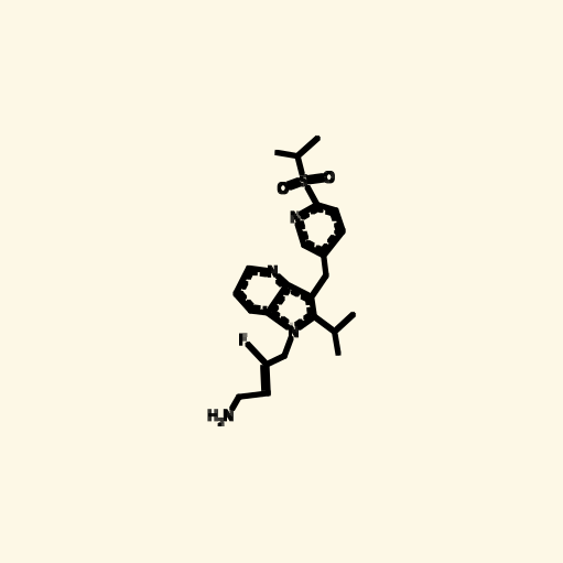 CC(C)c1c(Cc2ccc(S(=O)(=O)C(C)C)nc2)c2ncccc2n1C/C(F)=C/CN